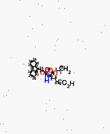 C=CCOC(=O)[C@@H](CCCC(=O)O)NC(=O)OCC1c2ccccc2-c2ccccc21